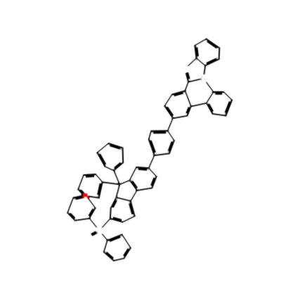 O=P(c1ccccc1)(c1ccccc1)c1ccc2c(c1)C(c1ccccc1)(c1ccccc1)c1cc(-c3ccc(-c4ccc5c(c4)c4ccccc4n4c6ccccc6nc54)cc3)ccc1-2